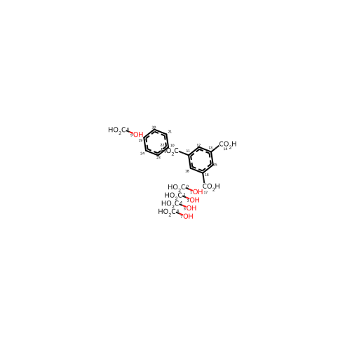 O=C(O)O.O=C(O)O.O=C(O)O.O=C(O)O.O=C(O)O.O=C(O)c1cc(C(=O)O)cc(C(=O)O)c1.c1ccccc1